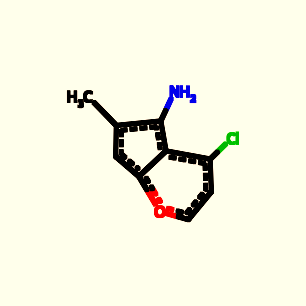 Cc1cc2occc(Cl)c-2c1N